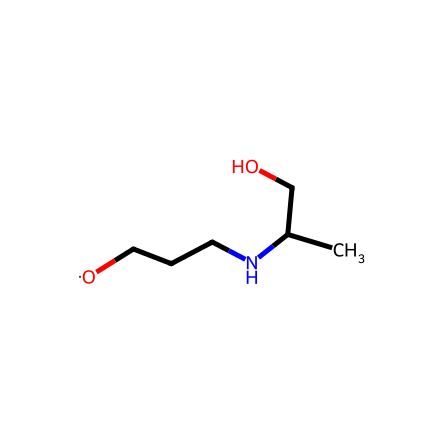 CC(CO)NCCC[O]